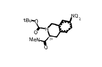 CNC(=O)[C@@H]1Cc2ccc([N+](=O)[O-])cc2CN1C(=O)OC(C)(C)C